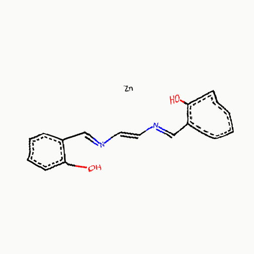 Oc1ccccc1C=NC=CN=Cc1ccccc1O.[Zn]